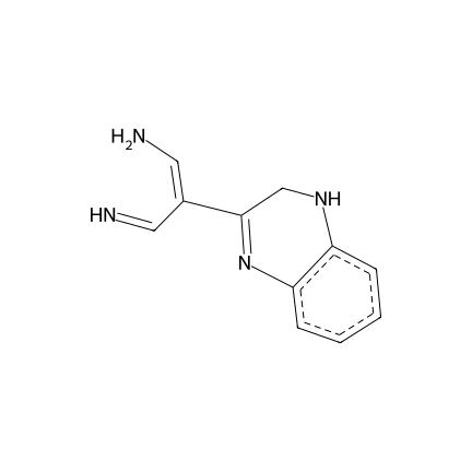 N=C/C(=C\N)C1=Nc2ccccc2NC1